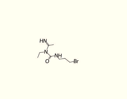 CCN(C(C)=N)C(=O)NCCCBr